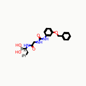 CC(C)C[C@H](NC(=O)CNC(=O)Nc1cccc(OCc2ccccc2)c1)B(O)O